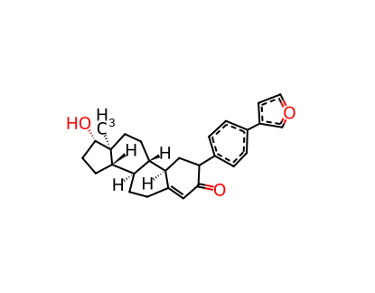 C[C@]12CC[C@H]3[C@@H](CCC4=CC(=O)C(c5ccc(-c6ccoc6)cc5)C[C@@H]43)[C@@H]1CC[C@@H]2O